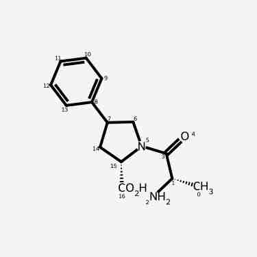 C[C@H](N)C(=O)N1CC(c2ccccc2)C[C@H]1C(=O)O